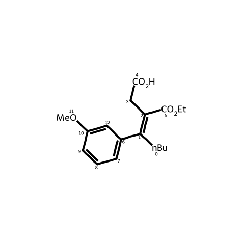 CCCCC(=C(CC(=O)O)C(=O)OCC)c1cccc(OC)c1